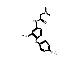 COc1cc(NC(=O)CN(C)C)ccc1Oc1ccc([N+](=O)[O-])cc1